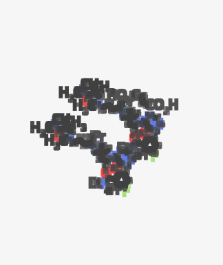 CCN(C(=O)c1cc(F)ccc1Oc1nncnc1N1CCC2(C1)CN([C@H](CCCN(C)C[C@H](C)C(=O)N(C)C)C(C)C)C2)C(C)C.CCN(C(=O)c1cc(F)ccc1Oc1nncnc1N1CCC2(C1)CN([C@H](CCCN(C)C[C@H](C)C(=O)N(C)C)C(C)C)C2)C(C)C.O=C(O)/C=C/C(=O)O